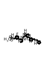 CS(=O)(=O)NCc1cc(F)cc(-c2nccc3[nH]c(-c4n[nH]c5cnc(-c6cncc(CNCC7CCCC7)c6)cc45)nc23)c1